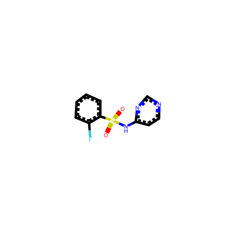 O=S(=O)(Nc1ccncn1)c1ccccc1F